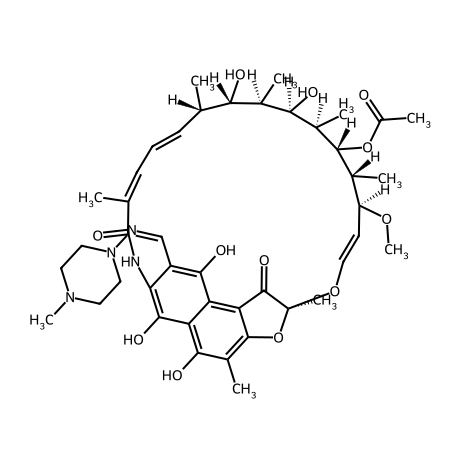 CO[C@H]1/C=C/O[C@@]2(C)Oc3c(C)c(O)c4c(O)c(c(/C=N\N5CCN(C)CC5)c(O)c4c3C2=O)NC(=O)/C(C)=C\C=C\[C@H](C)[C@H](O)[C@@H](C)[C@@H](O)[C@@H](C)[C@H](OC(C)=O)[C@@H]1C